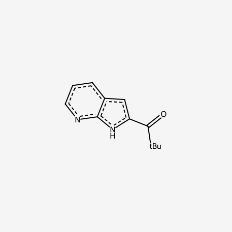 CC(C)(C)C(=O)c1cc2cccnc2[nH]1